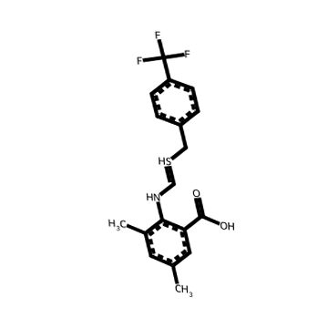 Cc1cc(C)c(NC=[SH]Cc2ccc(C(F)(F)F)cc2)c(C(=O)O)c1